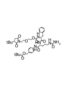 CC(C)(C)C(=O)OCc1ccc(NC(=O)[C@H](CCCNC(N)=O)NC(=O)[C@H](Cc2ccccc2)NC(=O)OCCOCCN2C(=O)CC(C(C)(C)C)C2=O)cc1